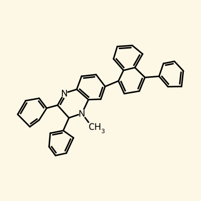 CN1c2cc(-c3ccc(-c4ccccc4)c4ccccc34)ccc2N=C(c2ccccc2)C1c1ccccc1